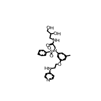 Cc1cc(OCCNc2ccncc2)cc(N(CC(=O)NCC(O)CO)S(=O)(=O)c2ccccc2)c1